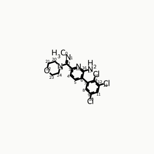 C/N=C(/c1ccc(-c2cc(Cl)cc(Cl)c2Cl)c(N)n1)N1CCOCC1